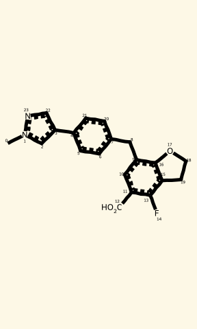 Cn1cc(-c2ccc(Cc3cc(C(=O)O)c(F)c4c3OCC4)cc2)cn1